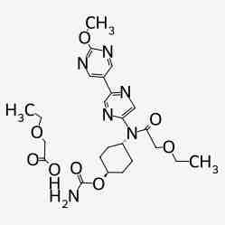 CCOCC(=O)N(c1cnc(-c2cnc(OC)nc2)cn1)[C@H]1CC[C@H](OC(N)=O)CC1.CCOCC(=O)O